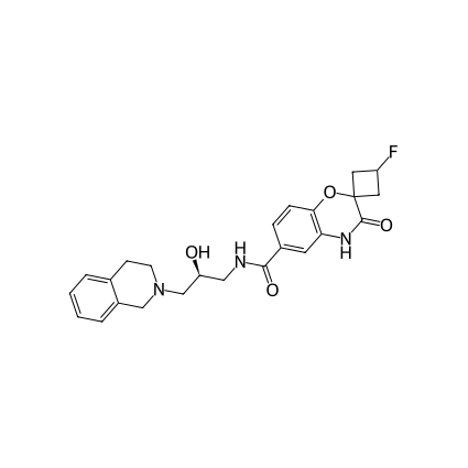 O=C(NC[C@H](O)CN1CCc2ccccc2C1)c1ccc2c(c1)NC(=O)C1(CC(F)C1)O2